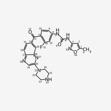 Cc1cc(NC(=O)Nc2ccc(C(=O)c3ccc4ncc(N5CCNCC5)nc4c3)c(F)c2)no1